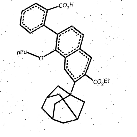 CCCCOc1c(-c2ccccc2C(=O)O)ccc2cc(C(=O)OCC)c(C34CC5CC(CC(C5)C3)C4)cc12